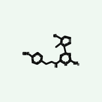 Cc1c(Cl)cccc1-c1cc(NCCc2ccc(C=O)cc2)nc(N)n1